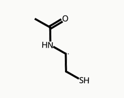 CC(=O)N[CH]CS